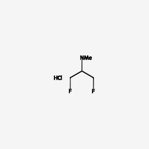 CNC(CF)CF.Cl